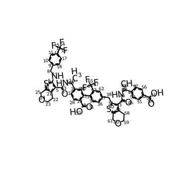 C[C@H](NC(=O)c1c(NCc2ccc(C(F)(F)F)cc2)sc2c1CCOC2)c1ccc(C(=O)O)c(-c2ccc(Cc3sc4c(c3C(=O)N[C@H](C)c3ccc(C(=O)O)cc3)CCOC4)cc2C(F)(F)F)c1